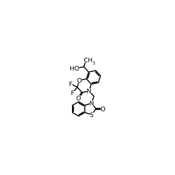 CC(O)c1cccc2c1OC(F)(F)C(=O)N2Cn1c(=O)sc2ccccc21